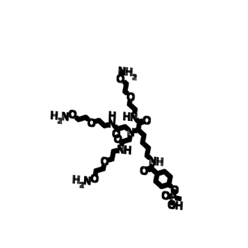 CP(=O)(O)OC1CCC(C(=O)NCCCCC(C(=O)NCCOCCON)N(CC(=O)NCCOCCON)CC(=O)NCCOCCON)CC1